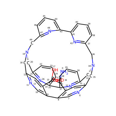 NC(=O)c1cc2ncc1-c1cnc(cc1C(=O)O)C[N@]1Cc3cccc(n3)-c3cccc(n3)C[N@](C2)Cc2cccc(n2)-c2cccc(n2)C1